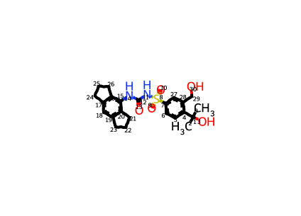 CC(C)(O)c1ccc(S(=O)(=O)NC(=O)Nc2c3c(cc4c2CCC4)CCC3)cc1CO